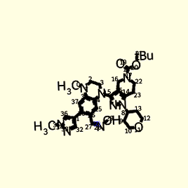 CN1CCN(c2nn(C3CCOCC3)c3c2CN(C(=O)OC(C)(C)C)CC3)c2cc(/C=N\O)c(-c3cnn(C)c3)cc21